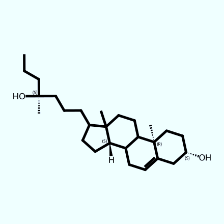 CCC[C@](C)(O)CCCC1CC[C@H]2C3CC=C4C[C@@H](O)CC[C@]4(C)C3CCC12C